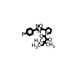 CCC(C)(C)C(=O)C(=O)N1CCCC1c1nc(-c2ccc(F)cc2)no1